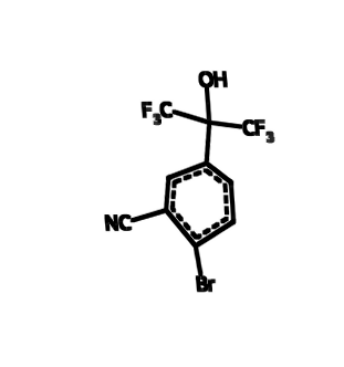 N#Cc1cc(C(O)(C(F)(F)F)C(F)(F)F)ccc1Br